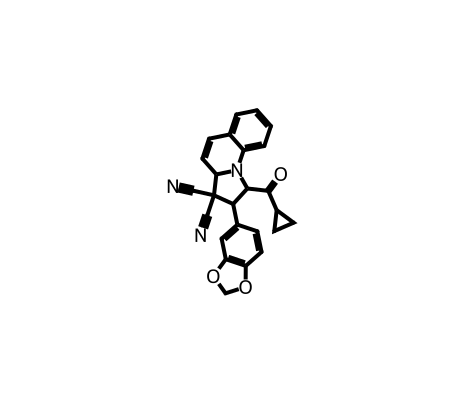 N#CC1(C#N)C(c2ccc3c(c2)OCO3)C(C(=O)C2CC2)N2c3ccccc3C=CC21